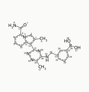 Cc1cn2c(C(N)=O)cccc2c1-c1nnc(C)c(NCc2cccc(B(O)O)c2)n1